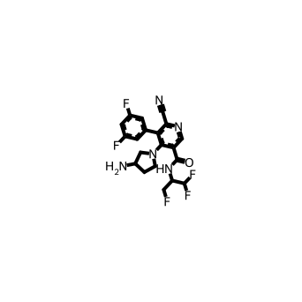 N#Cc1ncc(C(=O)NC(CF)C(F)F)c(N2CCC(N)C2)c1-c1cc(F)cc(F)c1